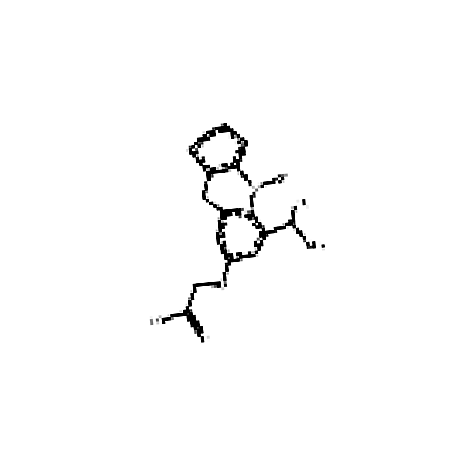 CC(C)c1cc(OCC(=O)O)cc2c1[S+]([O-])c1ccccc1C2